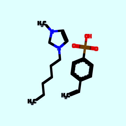 C=Cc1ccc(S(=O)(=O)O)cc1.CCCCCCN1C=CN(C)C1